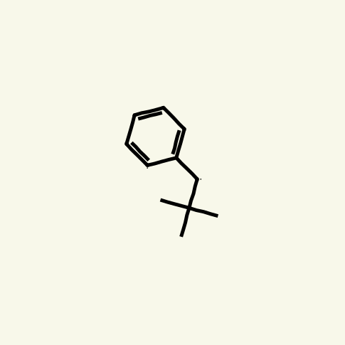 CC(C)(C)[CH]c1[c]cccc1